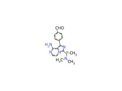 C[C@@H](c1nc(-c2ccc(C=O)cc2)c2c(N)nccn12)N(C)C